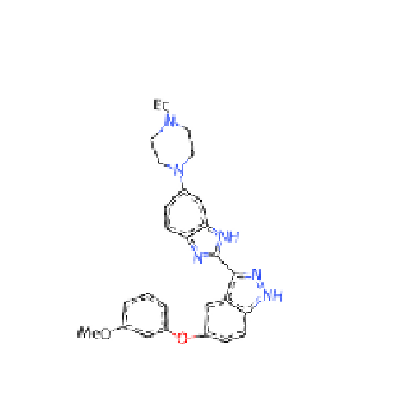 CCN1CCN(c2ccc3nc(-c4n[nH]c5ccc(Oc6cccc(OC)c6)cc45)[nH]c3c2)CC1